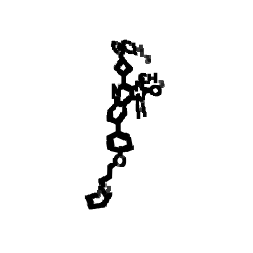 COC1CC(c2nc3ccc(-c4ccc(OCCCN5CCCC5)cc4)cc3c3[nH]c(=O)n(C)c23)C1